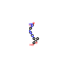 O=C1CCN(c2ccc(CN3CCN(C4CCN(c5ccc(C6c7ccc(O)cc7OCC6c6ccccc6)cc5)CC4)CC3)cc2)C(=O)N1